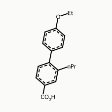 CCCc1cc(C(=O)O)ccc1-c1ccc(OCC)cc1